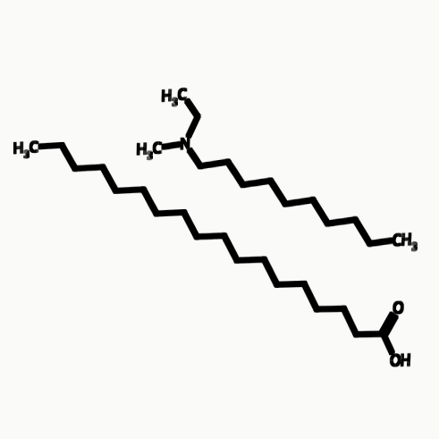 CCCCCCCCCCCCCCCCCC(=O)O.CCCCCCCCCCN(C)CC